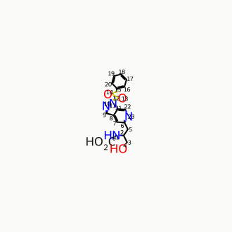 O=C(O)NC(CO)Cc1cc2cnn(S(=O)(=O)c3ccccc3)c2cn1